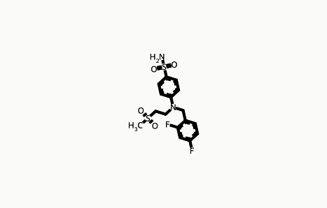 CS(=O)(=O)CCN(Cc1ccc(F)cc1F)c1ccc(S(N)(=O)=O)cc1